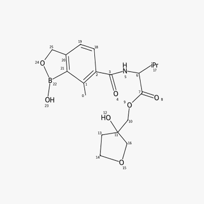 Cc1c(C(=O)NC(C(=O)OCC2(O)CCOC2)C(C)C)ccc2c1B(O)OC2